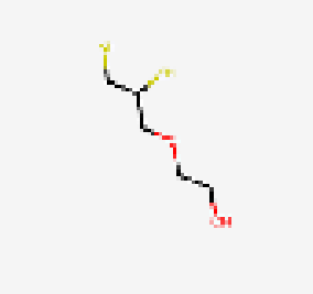 OCCOCC(S)CS